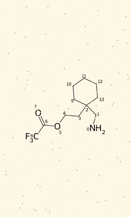 NCC1(CCOC(=O)C(F)(F)F)CCCCC1